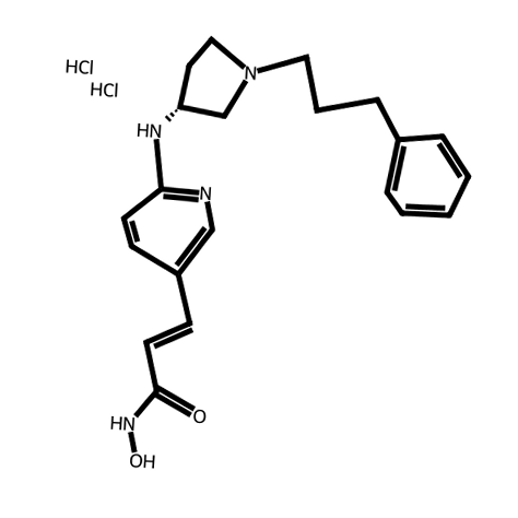 Cl.Cl.O=C(C=Cc1ccc(N[C@@H]2CCN(CCCc3ccccc3)C2)nc1)NO